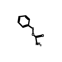 NC(=O)OSc1ccccc1